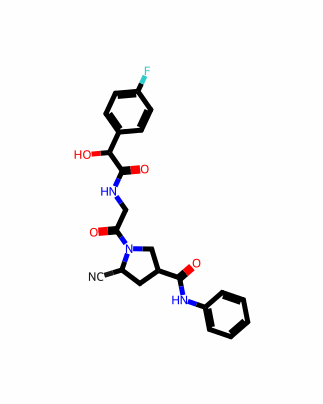 N#CC1CC(C(=O)Nc2ccccc2)CN1C(=O)CNC(=O)C(O)c1ccc(F)cc1